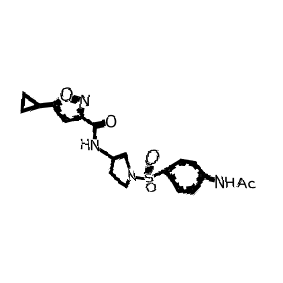 CC(=O)Nc1ccc(S(=O)(=O)N2CCC(NC(=O)c3cc(C4CC4)on3)C2)cc1